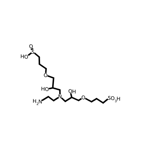 NCCN(CC(O)COCCCS(=O)O)CC(O)COCCCS(=O)(=O)O